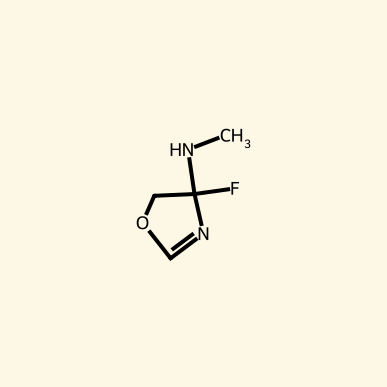 CNC1(F)COC=N1